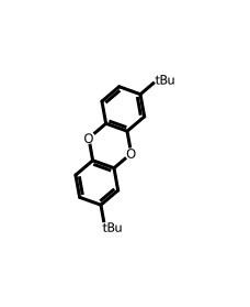 CC(C)(C)c1ccc2c(c1)Oc1cc(C(C)(C)C)ccc1O2